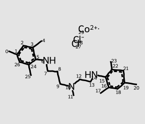 Cc1cc(C)c(NCCCN(C)CCNc2c(C)cc(C)cc2C)c(C)c1.[Cl-].[Cl-].[Co+2]